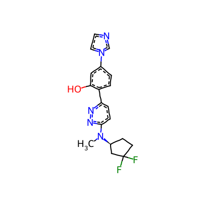 CN(c1ccc(-c2ccc(-n3ccnc3)cc2O)nn1)[C@H]1CCC(F)(F)C1